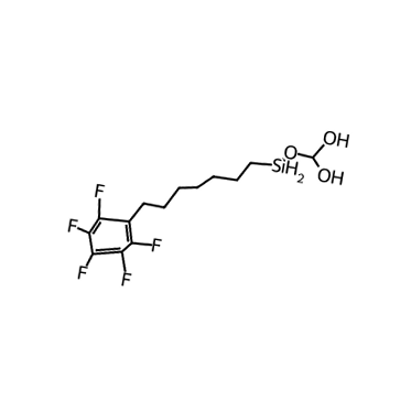 OC(O)O[SiH2]CCCCCCCc1c(F)c(F)c(F)c(F)c1F